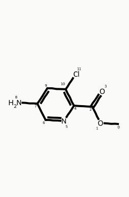 COC(=O)c1ncc(N)cc1Cl